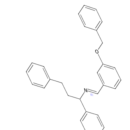 C(=N\C(CCc1ccccc1)c1ccccc1)/c1cccc(OCc2ccccc2)c1